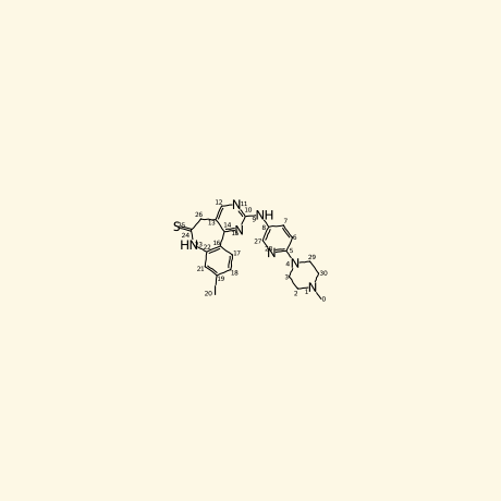 CN1CCN(c2ccc(Nc3ncc4c(n3)-c3ccc(I)cc3NC(=S)C4)cn2)CC1